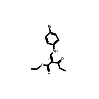 CCOC(=O)/C(=C/Nc1ccc(Br)cc1)C(=O)CC